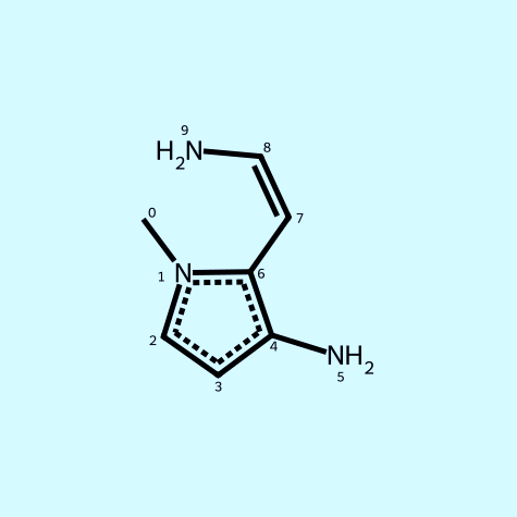 Cn1ccc(N)c1/C=C\N